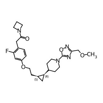 COCc1noc(N2CCC([C@H]3C[C@H]3CCOc3ccc(CC(=O)N4CCC4)c(F)c3)CC2)n1